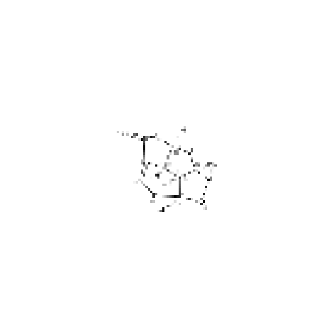 O=C1O[C@H]2C[C@@]3(O)CO[C@H]4OC=C1[C@@H]2[C@H]43